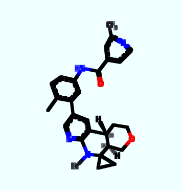 CCN1c2ncc(-c3cc(NC(=O)c4ccnc(C(F)(F)F)c4)ccc3C)cc2[C@@H]2CCOC[C@H]2C12CC2